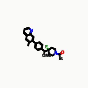 CCC(=O)N1CCC(F)(C(OC)c2ccc(-c3cc4ncccc4cc3C)cc2)CC1